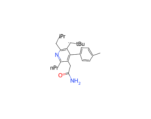 CCCc1nc(CC(C)C)c([CH]C(C)(C)C)c(-c2ccc(C)cc2)c1CC(N)=O